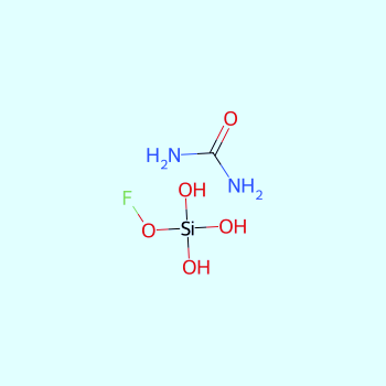 NC(N)=O.O[Si](O)(O)OF